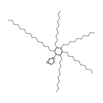 CCCCCCCCCCCCCCCc1c(CCCCCCCCCC)c(CCCCCCCCCC)c(CCCCCCCCCC)c(CCCCCCCCCC)c1-n1ccnc1